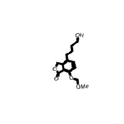 COCOc1ccc(CCCCO)c2c1C(=O)OC2